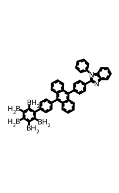 Bc1c(B)c(B)c(-c2ccc(-c3c4ccccc4c(-c4ccc(-c5nc6ccccc6n5-c5ccccc5)cc4)c4ccccc34)cc2)c(B)c1B